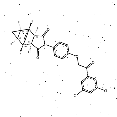 O=C(COc1ccc(N2C(=O)[C@@H]3[C@@H]4C=C[C@@H]([C@H]5C[C@@H]45)[C@@H]3C2=O)cc1)c1cc(Cl)cc(Cl)c1